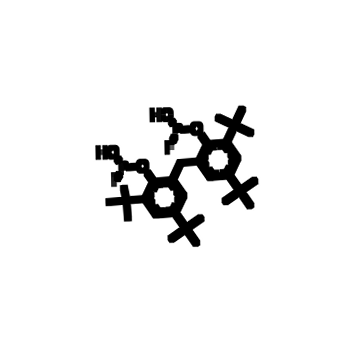 CC(C)(C)c1cc(Cc2cc(C(C)(C)C)cc(C(C)(C)C)c2OP(O)F)c(OP(O)F)c(C(C)(C)C)c1